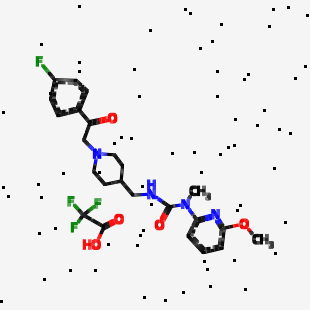 COc1cccc(N(C)C(=O)NCC2CCN(CC(=O)c3ccc(F)cc3)CC2)n1.O=C(O)C(F)(F)F